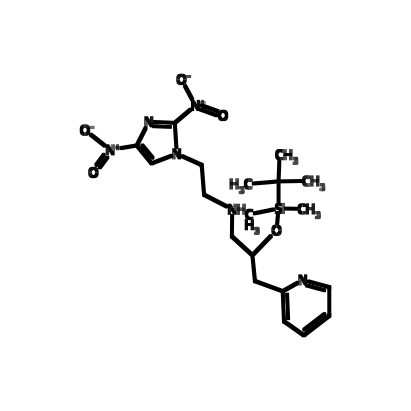 CC(C)(C)[Si](C)(C)OC(CNCCn1cc([N+](=O)[O-])nc1[N+](=O)[O-])Cc1ccccn1